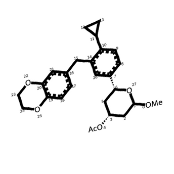 COC1C[C@H](OC(C)=O)C[C@H](c2ccc(C3CC3)c(Cc3ccc4c(c3)OCCO4)c2)O1